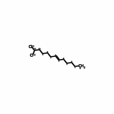 CCCCCC=CCCCCC(Cl)Cl